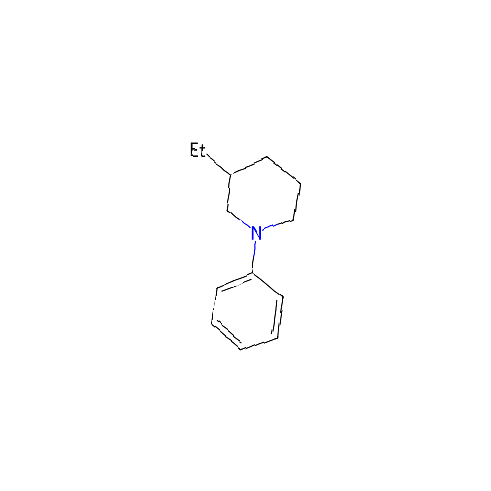 CCC1CCCN(c2ccccc2)C1